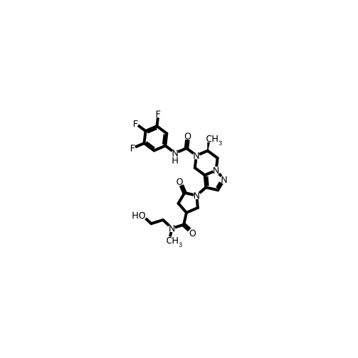 C[C@H]1Cn2ncc(N3CC(C(=O)N(C)CCO)CC3=O)c2CN1C(=O)Nc1cc(F)c(F)c(F)c1